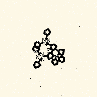 c1ccc(-c2nc(-c3ccccc3)nc(-c3ccc4c5c3sc3c(-c6nc(-c7ccccc7)nc(-c7ccccc7)n6)ccc(c35)C(c3ccccc3)(c3ccccc3)c3ccccc3-4)n2)cc1